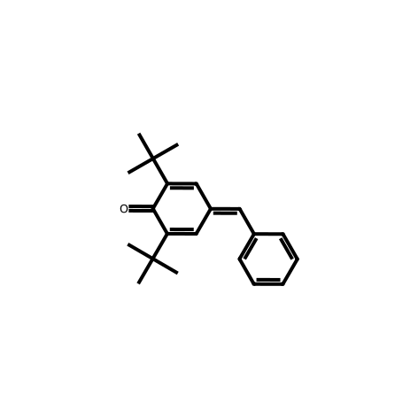 CC(C)(C)C1=CC(=Cc2ccccc2)C=C(C(C)(C)C)C1=O